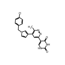 Cc1nnc(-c2c[nH]c(=O)[nH]c2=O)cc1-c1ccn(Cc2ccc(Cl)cc2)c1